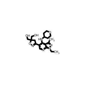 CCn1nc(C)c2c(NC3CCOCC3)c(C3=NOC(CO)(CO)C3)cnc21